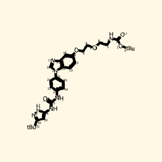 CC(C)(C)OC(=O)NCCOCCOc1ccc2c(c1)ncn2-c1ccc(NC(=O)Nc2cc(C(C)(C)C)n[nH]2)cc1